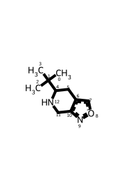 CC(C)(C)C1Cc2conc2CN1